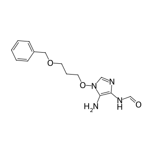 Nc1c(NC=O)ncn1OCCCOCc1ccccc1